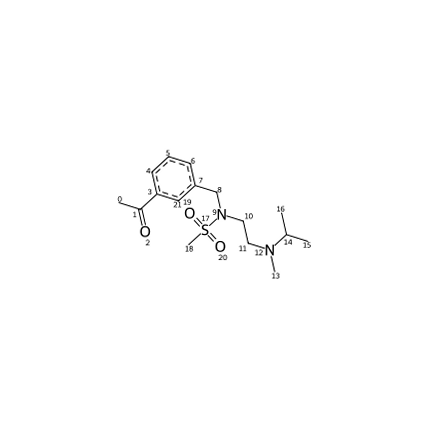 CC(=O)c1cccc(CN(CCN(C)C(C)C)S(C)(=O)=O)c1